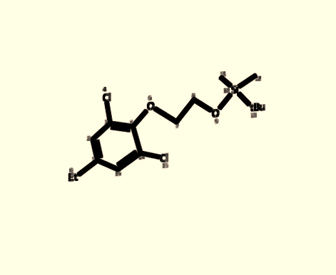 CCc1cc(Cl)c(OCCO[Si](C)(C)C(C)(C)C)c(Cl)c1